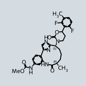 COC(=O)Nc1ccc2c(c1)NC(=O)[C@H](C)CCC[C@H](N1CCC(c3c(F)ccc(C)c3F)OC1=O)c1nc-2c[nH]1